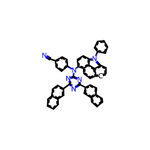 N#Cc1ccc(N(c2nc(-c3ccc4ccccc4c3)nc(-c3ccc4ccccc4c3)n2)c2ccc3c4c2ccc2cccc(c24)n3-c2ccccc2)cc1